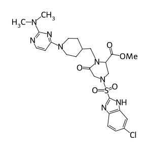 COC(=O)C1CN(S(=O)(=O)c2nc3ccc(Cl)cc3[nH]2)CC(=O)N1CC1CCN(c2ccnc(N(C)C)n2)CC1